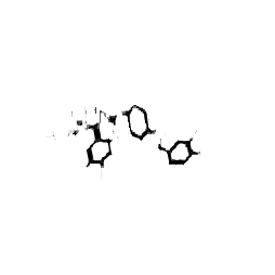 CN(C)c1nc(NC2CCC(NC(=O)c3ccc(F)c(F)c3)CC2)nc2cc(F)c(F)cc12